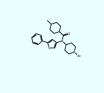 CC(=O)N1CCC(N(C(=O)C2CCC(C)CC2)c2csc(-c3ccccc3)c2)CC1